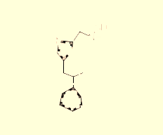 CC(Cc1cnc(CNS)s1)c1ccccc1